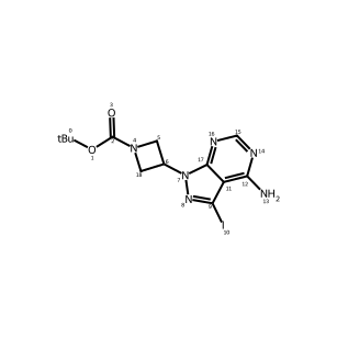 CC(C)(C)OC(=O)N1CC(n2nc(I)c3c(N)ncnc32)C1